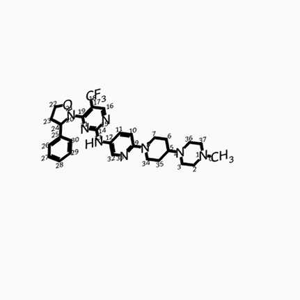 CN1CCN(C2CCN(c3ccc(Nc4ncc(C(F)(F)F)c(N5OCCC5c5ccccc5)n4)cn3)CC2)CC1